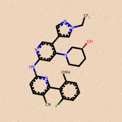 COc1cccc(F)c1-c1nc(Nc2cc(N3CCC[C@H](O)C3)c(-c3cnn(CC(F)(F)F)c3)cn2)ccc1C#N